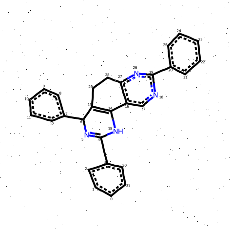 c1ccc(C2=NC(c3ccccc3)C3=C(N2)c2cnc(-c4ccccc4)nc2CC3)cc1